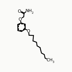 CCCCCCCCCCOc1cccc(OCC(N)=O)c1